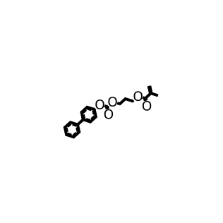 C=C(C)C(=O)OCCCOC(=O)Oc1ccc(-c2ccccc2)cc1